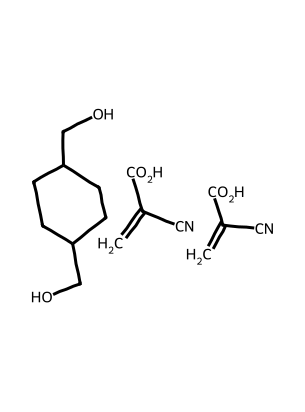 C=C(C#N)C(=O)O.C=C(C#N)C(=O)O.OCC1CCC(CO)CC1